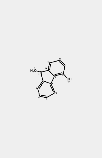 Cn1c2ccccc2c2c(O)cccc21